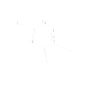 Fc1n[c]c(Br)c(C(F)(F)F)n1